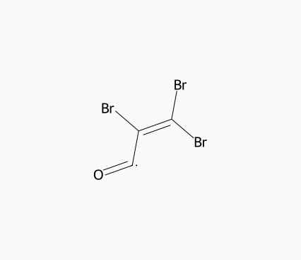 O=[C]C(Br)=C(Br)Br